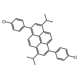 CC(C)c1cc(-c2ccc(Cl)cc2)c2ccc3c(C(C)C)cc(-c4ccc(Cl)cc4)c4ccc1c2c43